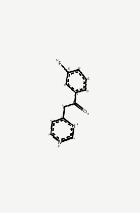 O=C(Cc1ccncn1)c1cccc(F)c1